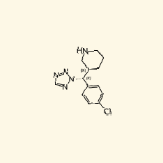 Clc1ccc([C@@H]([C@@H]2CCCNC2)n2ncnn2)cc1